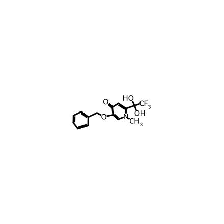 Cn1cc(OCc2ccccc2)c(=O)cc1C(O)(O)C(F)(F)F